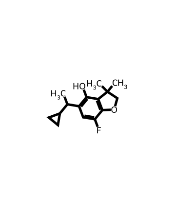 CC(c1cc(F)c2c(c1O)C(C)(C)CO2)C1CC1